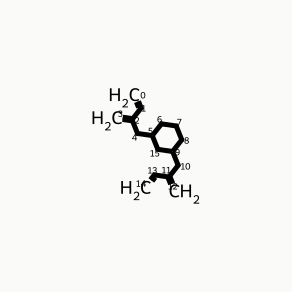 C=CC(=C)CC1CCCC(CC(=C)C=C)C1